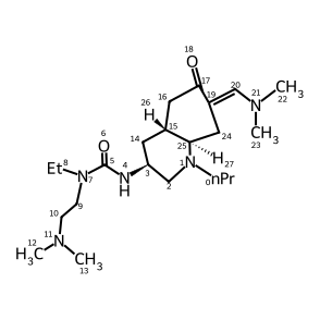 CCCN1C[C@@H](NC(=O)N(CC)CCN(C)C)C[C@@H]2CC(=O)/C(=C/N(C)C)C[C@H]21